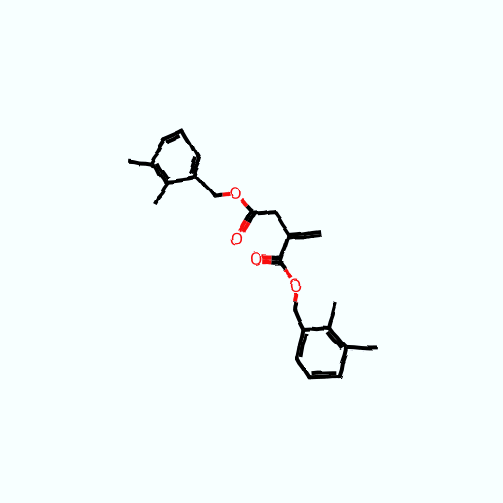 C=C(CC(=O)OCc1cccc(C)c1C)C(=O)OCc1cccc(C)c1C